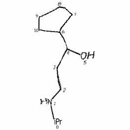 CC(C)NCCC(O)C1CCCC1